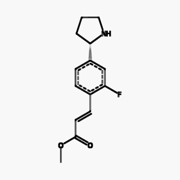 COC(=O)/C=C/c1ccc([C@@H]2CCCN2)cc1F